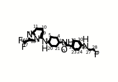 O=C(NC1CCC(Nc2cccc3nc(C(F)F)cn23)CC1)c1ccc(NCCF)cc1